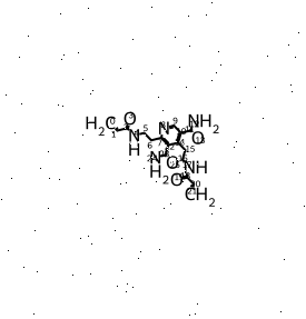 C=CC(=O)NCCc1ncc(C(N)=O)c(CCNC(=O)C=C)c1C(N)=O